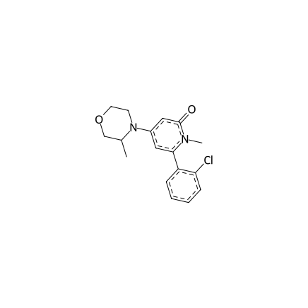 CC1COCCN1c1cc(-c2ccccc2Cl)n(C)c(=O)c1